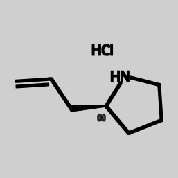 C=CC[C@@H]1CCCN1.Cl